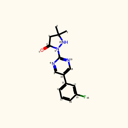 CC1(C)CC(=O)N(c2ncc(-c3cccc(F)c3)cn2)N1